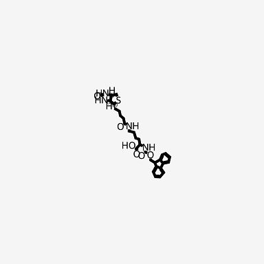 O=C(CCCC[C@@H]1SC[C@@H]2NC(=O)N[C@@H]21)NCCCCC(NC(=O)OCC1c2ccccc2-c2ccccc21)C(=O)O